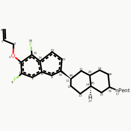 C=CCOc1c(F)cc2cc([C@@H]3CC[C@@H]4CC(CCCCC)CCC4C3)ccc2c1F